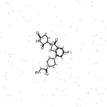 CC(C)CC(=O)N1CCN(c2cc(F)cc3c2CN(C2CCC(=O)NC2=O)C3=O)CC1